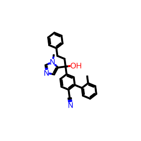 Cc1ccccc1-c1cc(C(O)(CCc2ccccc2)c2cncn2C)ccc1C#N